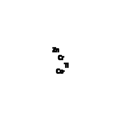 [Co].[Cr].[Ti].[Zn]